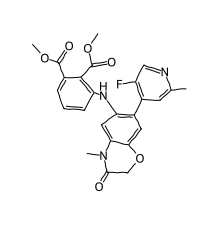 COC(=O)c1cccc(Nc2cc3c(cc2-c2cc(C)ncc2F)OCC(=O)N3C)c1C(=O)OC